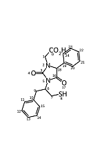 O=C(O)CN1C(=O)N(C(CS)Cc2ccccc2)C(=O)C1c1ccccc1